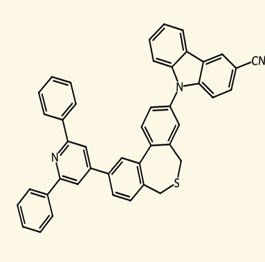 N#Cc1ccc2c(c1)c1ccccc1n2-c1ccc2c(c1)CSCc1ccc(-c3cc(-c4ccccc4)nc(-c4ccccc4)c3)cc1-2